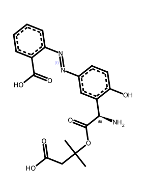 CC(C)(CC(=O)O)OC(=O)[C@H](N)c1cc(/N=N/c2ccccc2C(=O)O)ccc1O